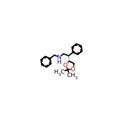 CC1(C)OC[C@@H](C(CNCc2ccccc2)c2ccccc2)O1